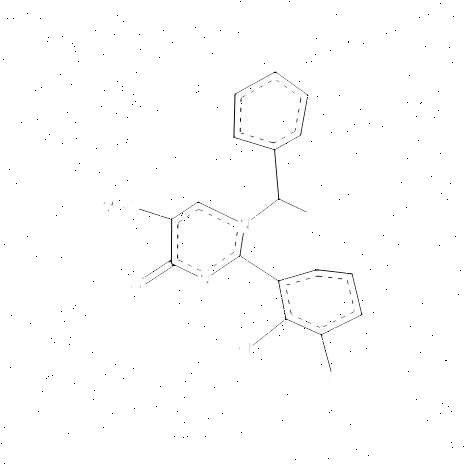 COc1cn(C(C)c2ccccc2)c(-c2cccc(C(F)(F)F)c2Cl)nc1=O